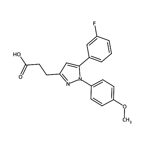 COc1ccc(-n2nc(CCC(=O)O)cc2-c2cccc(F)c2)cc1